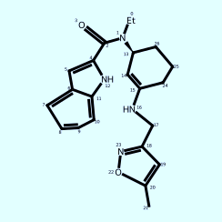 CCN(C(=O)c1cc2ccccc2[nH]1)[C@@H]1C=C(NCc2cc(C)on2)CCC1